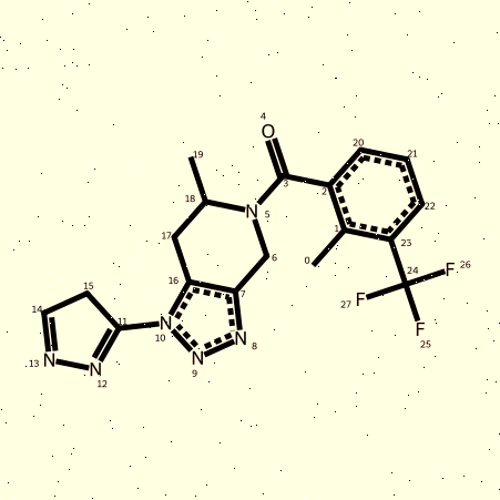 Cc1c(C(=O)N2Cc3nnn(C4=NN=CC4)c3CC2C)cccc1C(F)(F)F